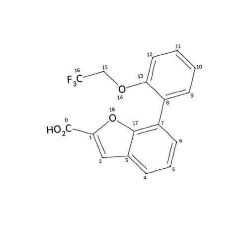 O=C(O)c1cc2cccc(-c3ccccc3OCC(F)(F)F)c2o1